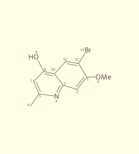 COc1cc2nc(C)cc(O)c2cc1Br